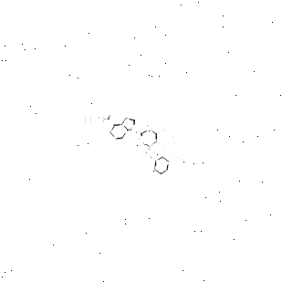 CN(c1cccc(CO)c1)c1nc(-n2ccc3c(C(N)=O)cccc32)nc2c1COCC2